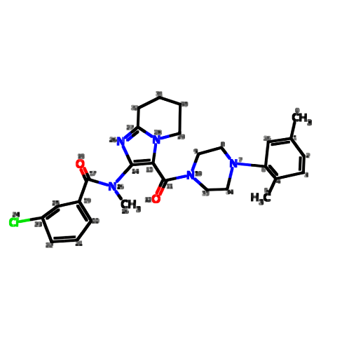 Cc1ccc(C)c(N2CCN(C(=O)c3c(N(C)C(=O)c4cccc(Cl)c4)nc4n3CCCC4)CC2)c1